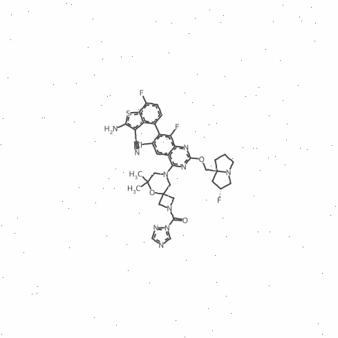 CC1(C)CN(c2nc(OC[C@@]34CCCN3C[C@H](F)C4)nc3c(F)c(-c4ccc(F)c5sc(N)c(C#N)c45)c(Cl)cc23)CC2(CN(C(=O)n3cncn3)C2)O1